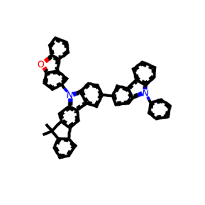 CC1(C)c2ccccc2-c2cc3c4cc(-c5ccc6c(c5)c5ccccc5n6-c5ccccc5)ccc4n(-c4ccc5oc6ccccc6c5c4)c3cc21